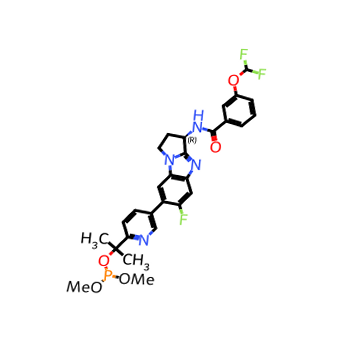 COP(OC)OC(C)(C)c1ccc(-c2cc3c(cc2F)nc2n3CC[C@H]2NC(=O)c2cccc(OC(F)F)c2)cn1